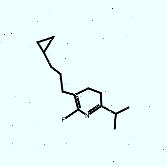 CC(C)C1=NC(F)=C(CCCC2CC2)CC1